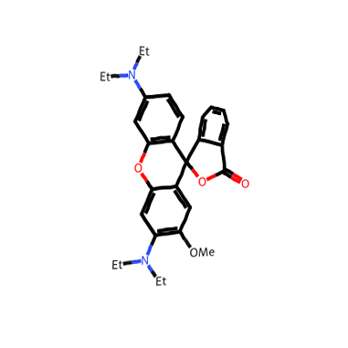 CCN(CC)c1ccc2c(c1)Oc1cc(N(CC)CC)c(OC)cc1C21OC(=O)c2ccccc21